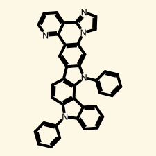 c1ccc(-n2c3ccccc3c3c2ccc2c4cc5c6ncccc6c6nccn6c5cc4n(-c4ccccc4)c23)cc1